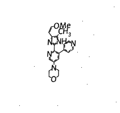 CO/C=C\c1nc(-c2ncc(N3CCOCC3)cc2-c2ccncc2)[nH]c1C